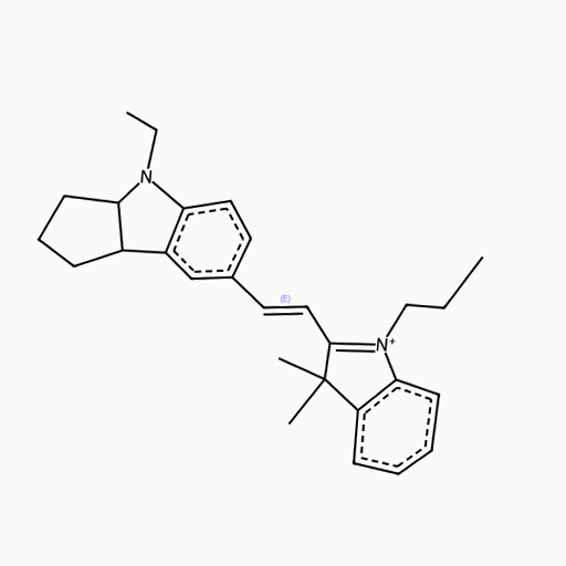 CCC[N+]1=C(/C=C/c2ccc3c(c2)C2CCCC2N3CC)C(C)(C)c2ccccc21